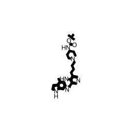 Cc1c(Nc2c(C#N)cncc2CCCCN2CCC(NC(=O)OC(C)(C)C)CC2)ccc2[nH]ccc12